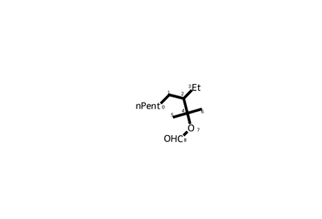 CCCCCCC(CC)C(C)(C)OC=O